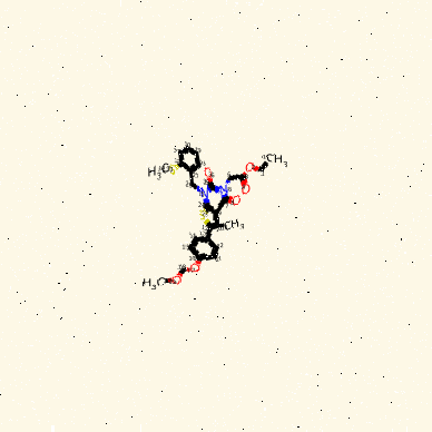 CCOC(=O)Cn1c(=O)c2c(C)c(-c3ccc(OCOC)cc3)sc2n(Cc2ccccc2SC)c1=O